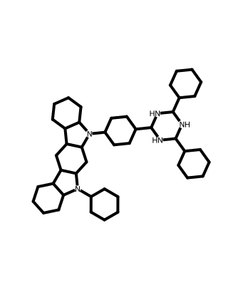 C1CCC(C2NC(C3CCCCC3)NC(C3CCC(N4C5CCCCC5C5CC6C7CCCCC7N(C7CCCCC7)C6CC54)CC3)N2)CC1